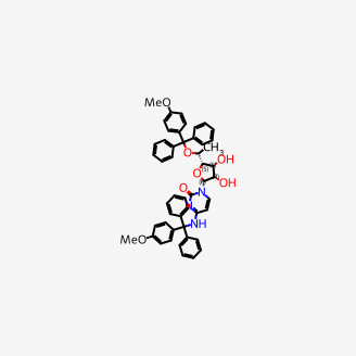 COc1ccc(C(Nc2ccn([C@@H]3O[C@H](C(C)OC(c4ccccc4)(c4ccccc4)c4ccc(OC)cc4)[C@@H](O)[C@H]3O)c(=O)n2)(c2ccccc2)c2ccccc2)cc1